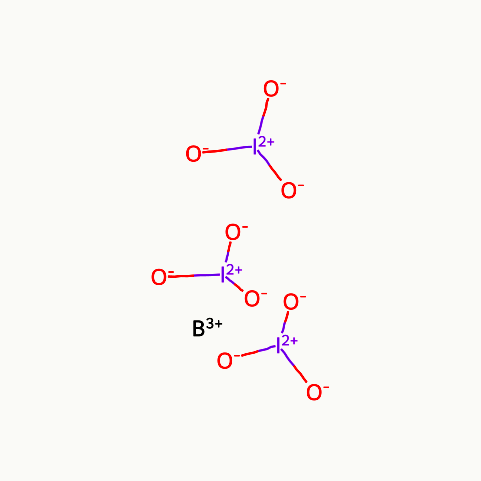 [B+3].[O-][I+2]([O-])[O-].[O-][I+2]([O-])[O-].[O-][I+2]([O-])[O-]